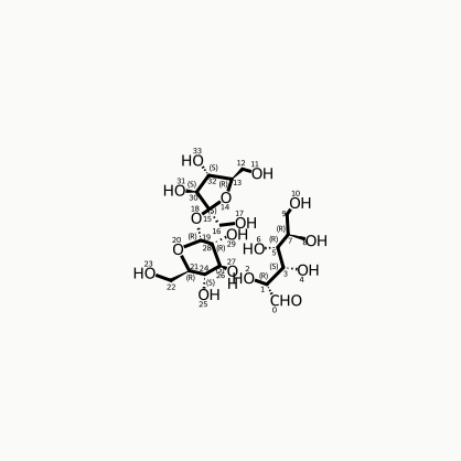 O=C[C@H](O)[C@@H](O)[C@H](O)[C@H](O)CO.OC[C@H]1O[C@@](CO)(O[C@H]2O[C@H](CO)[C@@H](O)[C@H](O)[C@H]2O)[C@@H](O)[C@@H]1O